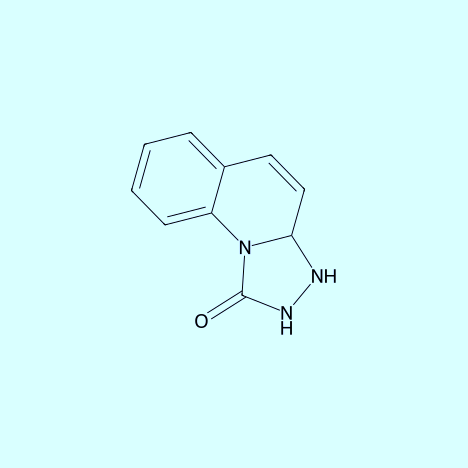 O=C1NNC2C=Cc3ccccc3N12